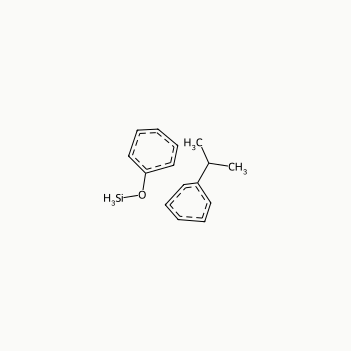 CC(C)c1ccccc1.[SiH3]Oc1ccccc1